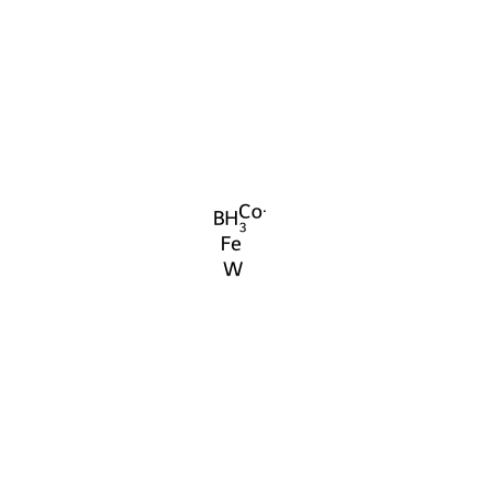 B.[Co].[Fe].[W]